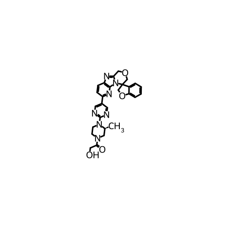 C[C@H]1CN(C(=O)CO)CCN1c1ncc(-c2ccc3nc4n(c3n2)C2(COC4)COc3ccccc32)cn1